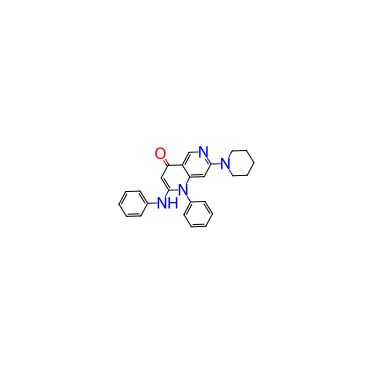 O=c1cc(Nc2ccccc2)n(-c2ccccc2)c2cc(N3CCCCC3)ncc12